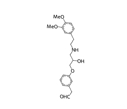 COc1ccc(CCNCC(O)COc2cccc(CC=O)c2)cc1OC